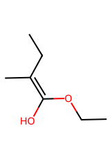 CCOC(O)=C(C)CC